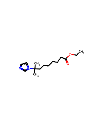 CCOC(=O)CCCCCCC(C)(C)n1ccnc1